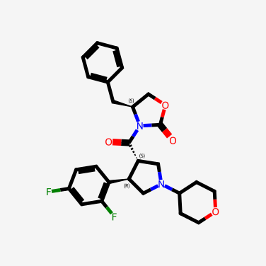 O=C1OC[C@H](Cc2ccccc2)N1C(=O)[C@@H]1CN(C2CCOCC2)C[C@H]1c1ccc(F)cc1F